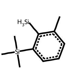 Cc1cccc([Si](C)(C)C)c1[SiH3]